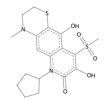 CN1CCSc2c1cc1c(c2O)c(S(C)(=O)=O)c(O)c(=O)n1C1CCCC1